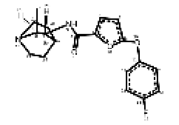 C[C@H]1[C@H](NC(=O)c2ccc(Oc3ccc(F)cc3)o2)C2CCN1CC2